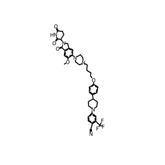 COc1cc2c(cc1N1CCN(CCCCOc3ccc(C4CCN(c5ccc(C#N)c(C(F)(F)F)c5)CC4)cc3)CC1)CN(C1CCC(=O)NC1=O)C2=O